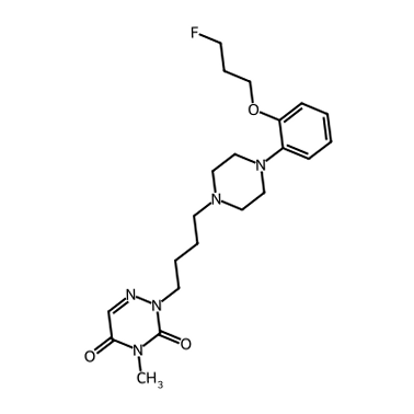 Cn1c(=O)cnn(CCCCN2CCN(c3ccccc3OCCCF)CC2)c1=O